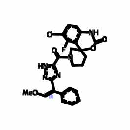 CO/C=C(/c1ccccc1)c1n[nH]c(C(=O)N2CCCC3(C2)OC(=O)Nc2ccc(Cl)c(F)c23)n1